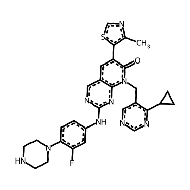 Cc1ncsc1-c1cc2cnc(Nc3ccc(N4CCNCC4)c(F)c3)nc2n(Cc2cncnc2C2CC2)c1=O